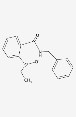 CC[S+]([O-])c1ccccc1C(=O)NCc1ccccc1